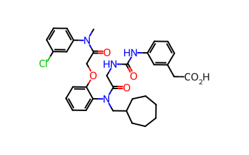 CN(C(=O)COc1ccccc1N(CC1CCCCCC1)C(=O)CNC(=O)Nc1cccc(CC(=O)O)c1)c1cccc(Cl)c1